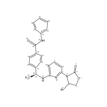 CC(C)C1COC(=O)N1c1ccnc(N[C@@H](C)c2ccc(C(=O)Nc3ccccc3)cc2)n1